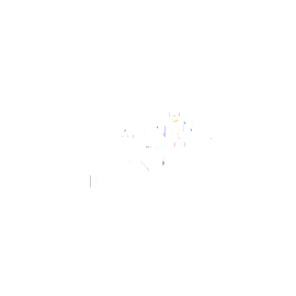 CC(=O)c1c(NS(N)(=O)=O)cccc1OCC(C)(C)C